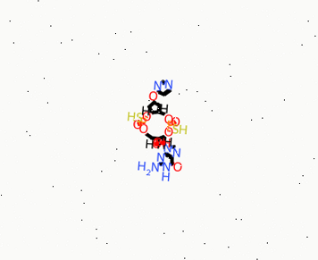 Nc1nc2c(ncn2[C@@H]2O[C@@H]3CO[P@](=O)(S)O[C@H]4C[C@H](Oc5ccncn5)C[C@@H]4CO[P@](=O)(S)O[C@@H]2[C@@H]3O)c(=O)[nH]1